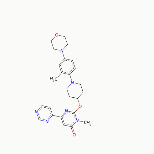 Cc1cc(N2CCOCC2)ccc1N1CCC(Oc2nc(-c3ccncn3)cc(=O)n2C)CC1